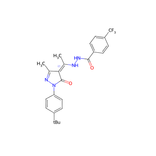 CC1=NN(c2ccc(C(C)(C)C)cc2)C(=O)/C1=C(/C)NNC(=O)c1ccc(C(F)(F)F)cc1